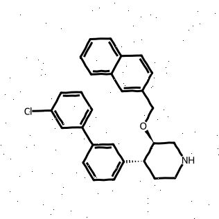 Clc1cccc(-c2cccc([C@H]3CCNC[C@@H]3OCc3ccc4ccccc4c3)c2)c1